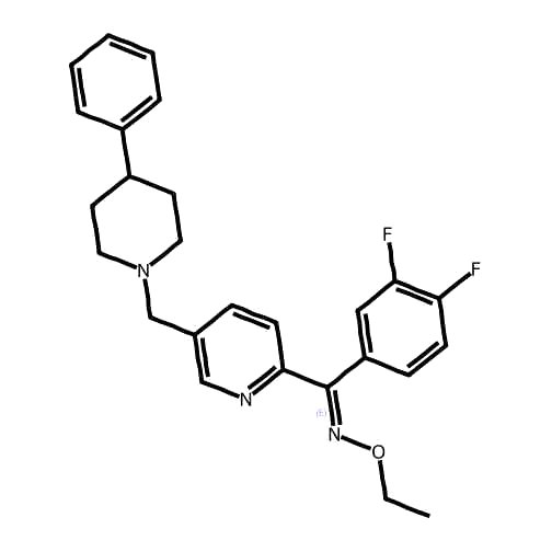 CCO/N=C(\c1ccc(F)c(F)c1)c1ccc(CN2CCC(c3ccccc3)CC2)cn1